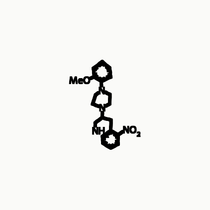 COc1ccccc1N1CCN(C(CN)Cc2ccccc2[N+](=O)[O-])CC1